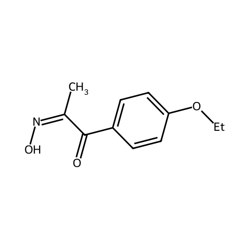 CCOc1ccc(C(=O)/C(C)=N\O)cc1